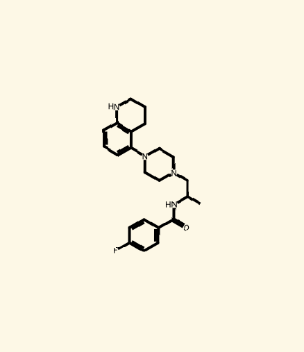 CC(CN1CCN(c2cccc3c2CCCN3)CC1)NC(=O)c1ccc(F)cc1